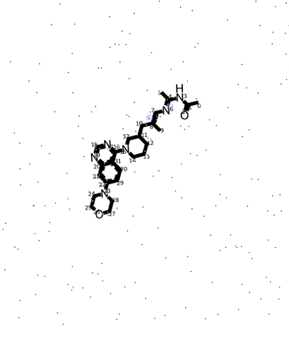 CC(=O)N/C(C)=N/C=C(\C)CC1CCCN(c2ncnc3cc(N4CCOCC4)ccc23)C1